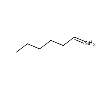 CCCCCC=[SiH2]